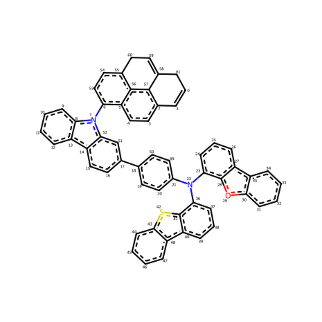 C1=Cc2ccc3c(-n4c5ccccc5c5ccc(-c6ccc(N(c7cccc8c7oc7ccccc78)c7cccc8c7sc7ccccc78)cc6)cc54)ccc4c3c2C(=CC4)C1